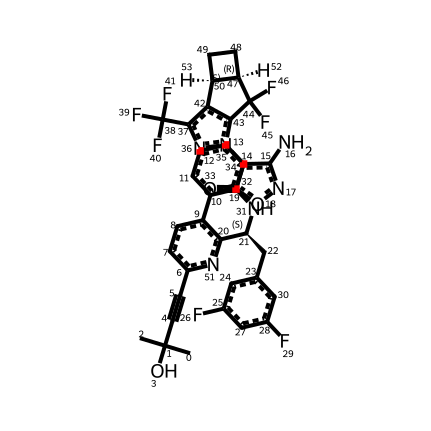 CC(C)(O)C#Cc1ccc(-c2cccc3c(N)noc23)c([C@H](Cc2cc(F)cc(F)c2)NC(=O)Cn2nc(C(F)(F)F)c3c2C(F)(F)[C@@H]2CC[C@H]32)n1